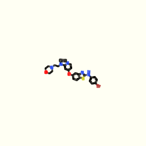 O=CN(CCN1CCOCC1)c1cc(Oc2ccc3sc(Nc4ccc(Br)cc4)nc3c2)ccn1